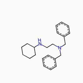 c1ccc(CN(CCNC2CCCCC2)Cc2ccccc2)cc1